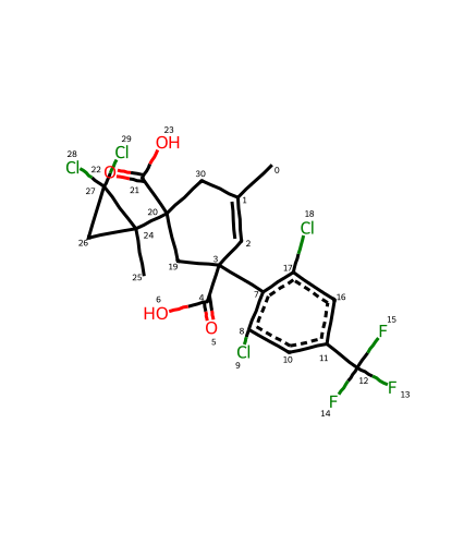 CC1=CC(C(=O)O)(c2c(Cl)cc(C(F)(F)F)cc2Cl)CC(C(=O)O)(C2(C)CC2(Cl)Cl)C1